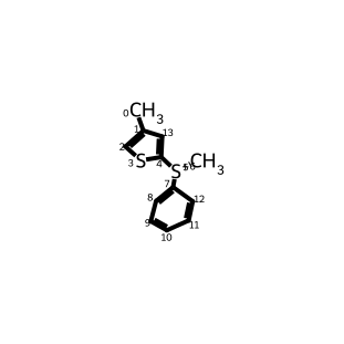 Cc1csc([S+](C)c2ccccc2)c1